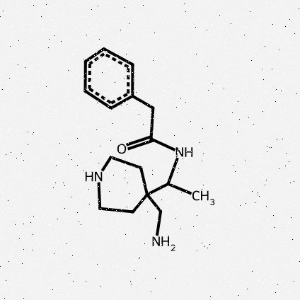 CC(NC(=O)Cc1ccccc1)C1(CN)CCNCC1